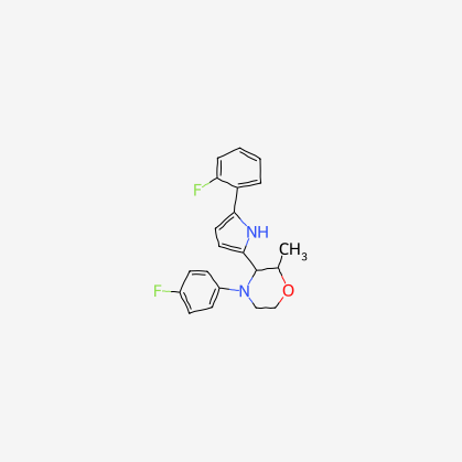 CC1OCCN(c2ccc(F)cc2)C1c1ccc(-c2ccccc2F)[nH]1